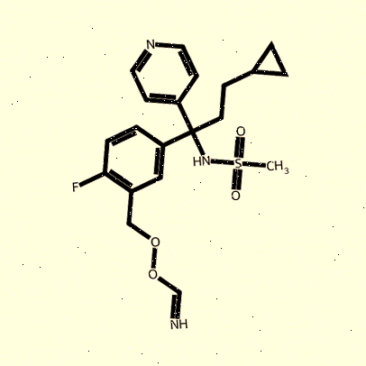 CS(=O)(=O)NC(CCC1CC1)(c1ccncc1)c1ccc(F)c(COOC=N)c1